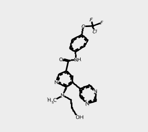 CN(CCO)c1ncc(C(=O)Nc2ccc(OC(F)(F)Cl)cc2)cc1-c1cncnc1